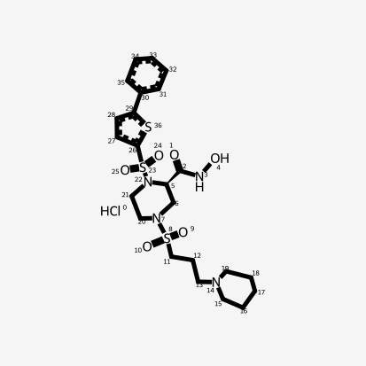 Cl.O=C(NO)[C@H]1CN(S(=O)(=O)CCCN2CCCCC2)CCN1S(=O)(=O)c1ccc(-c2ccccc2)s1